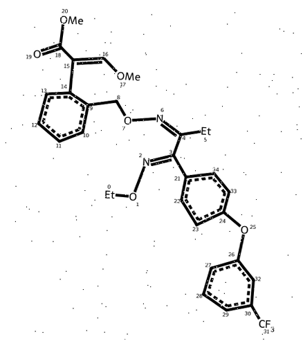 CCON=C(C(CC)=NOCc1ccccc1C(=COC)C(=O)OC)c1ccc(Oc2cccc(C(F)(F)F)c2)cc1